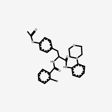 CC(=O)Oc1ccc(CC(NC(=O)c2ccccc2F)C(=O)Nc2ccccc2N2CCOCC2)cc1